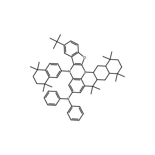 CC(C)(C)c1ccc2oc3c(c2c1)N(c1ccc2c(c1)C(C)(C)CCC2(C)C)c1cc(N(c2ccccc2)c2ccccc2)cc2c1B3C1CC3C(CC1C2(C)C)C(C)(C)CCC3(C)C